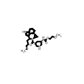 COCCCC(c1c[nH]c2ccccc12)N(C(=O)[C@@H]1CNC[C@H](NC(=O)OCCOC)C1)C1CC1